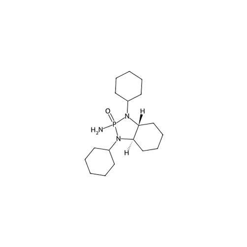 NP1(=O)N(C2CCCCC2)[C@@H]2CCCC[C@H]2N1C1CCCCC1